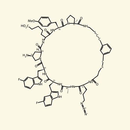 COc1ccc(C[C@@H]2NC(=O)C(CCCCC(=O)O)NC(=O)[C@@H]3C[C@H](N)CN3C(=O)[C@H](Cc3c[nH]c4ccc(F)cc34)NC(=O)[C@H](Cc3c[nH]c4ccc(F)cc34)NC(=O)[C@@H](C)NC(=O)[C@H](CCCN=[N+]=[N-])NC(=O)CCSCc3cccc(c3)CCSCNC(=O)[C@]3(C)CCCN3C2=O)cc1